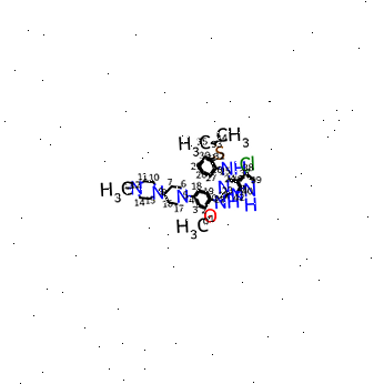 COc1cc(N2CCC(N3CCN(C)CC3)CC2)ccc1Nc1nc(Nc2ccccc2SC(C)C)c2c(Cl)c[nH]c2n1